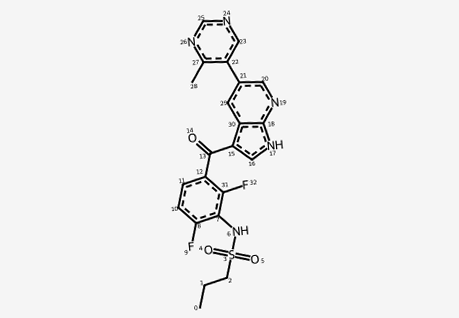 CCCS(=O)(=O)Nc1c(F)ccc(C(=O)c2c[nH]c3ncc(-c4cncnc4C)cc23)c1F